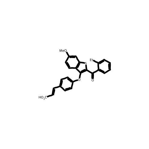 CCc1ccccc1C(=O)c1sc2cc(OC)ccc2c1Oc1ccc(/C=C/C(=O)O)cc1